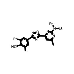 CCc1cc(-c2noc(-c3cc(C)nc(N(CC)CC)n3)n2)cc(C)c1O